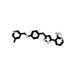 Cc1cncc(COc2ccc(Cc3cc(-c4cccnc4N)on3)cc2)c1